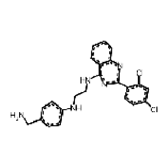 NCc1ccc(NCCNc2nc(-c3ccc(Cl)cc3Cl)nc3ccccc23)cc1